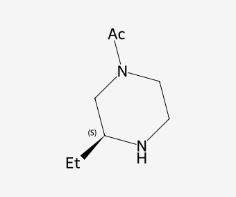 CC[C@H]1CN(C(C)=O)CCN1